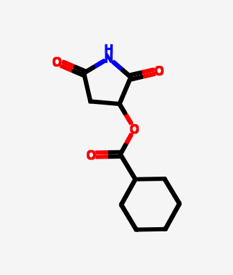 O=C1CC(OC(=O)C2CCCCC2)C(=O)N1